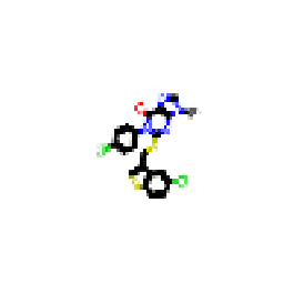 CC(C)n1cnc2c(=O)n(-c3ccc(Cl)cc3)c(SCc3csc4ccc(Cl)cc34)nc21